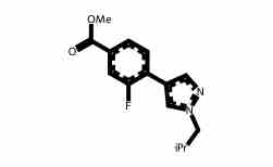 COC(=O)c1ccc(-c2cnn(C[C](C)C)c2)c(F)c1